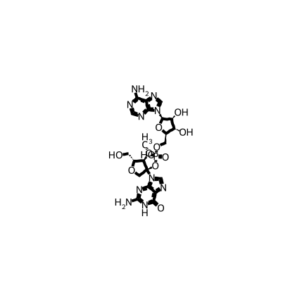 CO[C@@H]1[C@@H](CO)OC[C@@]1(OP(=O)(O)OC[C@H]1O[C@@H](n2cnc3c(N)ncnc32)[C@H](O)[C@@H]1O)n1cnc2c(=O)[nH]c(N)nc21